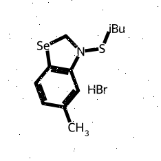 Br.CCC(C)SN1C[Se]c2ccc(C)cc21